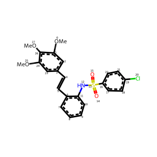 COc1cc(C=Cc2ccccc2NS(=O)(=O)c2ccc(Cl)cc2)cc(OC)c1OC